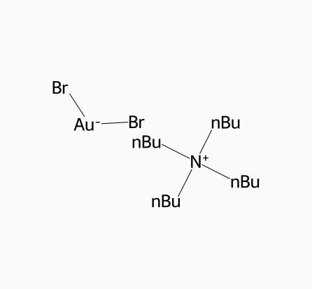 CCCC[N+](CCCC)(CCCC)CCCC.[Br][Au-][Br]